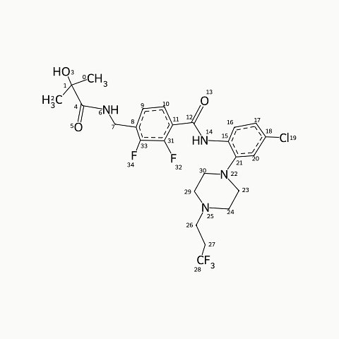 CC(C)(O)C(=O)NCc1ccc(C(=O)Nc2ccc(Cl)cc2N2CCN(CCC(F)(F)F)CC2)c(F)c1F